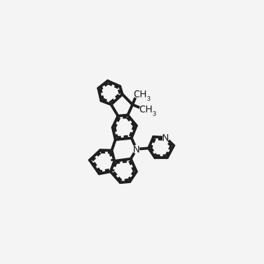 CC1(C)c2ccccc2-c2cc3c(cc21)N(c1cccnc1)c1cccc2cccc-3c12